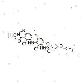 CCOC1CN(S(=O)(=O)Nc2ccc(F)c(Nc3ccc4ncn(C)c(=O)c4c3Cl)c2Cl)C1